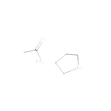 CC(=O)N[C@H]1CN[C@@H](C)C1